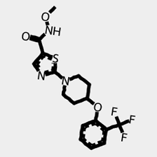 CONC(=O)c1cnc(N2CCC(Oc3ccccc3C(F)(F)F)CC2)s1